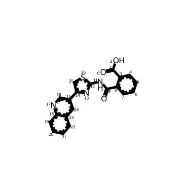 O=C(O)c1ccccc1C(=O)Nc1nc(-c2cnc3ccccc3c2)cs1